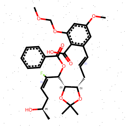 COCOc1cc(OC)cc(/C=C/C[C@@H]2OC(C)(C)O[C@@H]2C(OC(=O)c2ccccc2)/C(F)=C\C[C@@H](C)O)c1C(=O)O